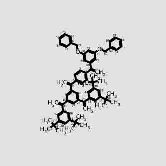 C=C(c1ccc(C(=C)c2cc(C(=C)c3cc(C(C)(C)C)cc(C(C)(C)C)c3)cc(C(=C)c3cc(C(C)(C)C)cc(C(C)(C)C)c3)c2)cc1)c1cc(OCc2ccccc2)cc(OCc2ccccc2)c1